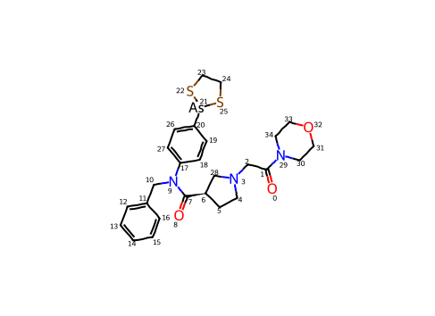 O=C(CN1CC[C@@H](C(=O)N(Cc2ccccc2)c2ccc([As]3SCCS3)cc2)C1)N1CCOCC1